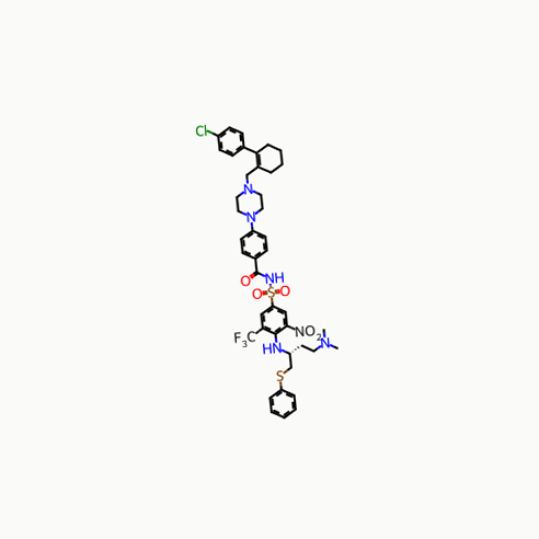 CN(C)CC[C@H](CSc1ccccc1)Nc1c([N+](=O)[O-])cc(S(=O)(=O)NC(=O)c2ccc(N3CCN(CC4=C(c5ccc(Cl)cc5)CCCC4)CC3)cc2)cc1C(F)(F)F